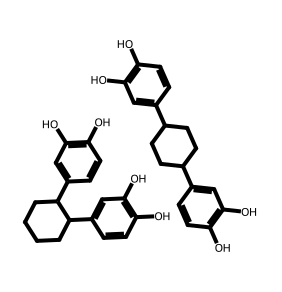 Oc1ccc(C2CCC(c3ccc(O)c(O)c3)CC2)cc1O.Oc1ccc(C2CCCCC2c2ccc(O)c(O)c2)cc1O